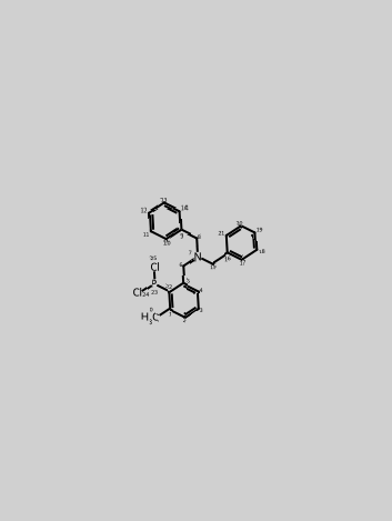 Cc1cccc(CN(Cc2ccccc2)Cc2ccccc2)c1P(Cl)Cl